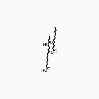 CCCC(=O)O.CCCCCCCCCCCC(=O)O.CCCCCCCCCCCC(=O)O